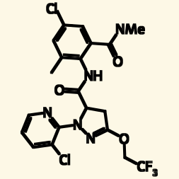 CNC(=O)c1cc(Cl)cc(C)c1NC(=O)C1CC(OCC(F)(F)F)=NN1c1ncccc1Cl